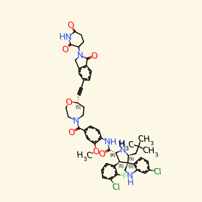 COc1cc(C(=O)N2CCO[C@H](C#Cc3ccc4c(c3)CN(C3CCC(=O)NC3=O)C4=O)CC2)ccc1NC(=O)[C@@H]1N[C@@H](CC(C)(C)C)[C@@]2(CNc3cc(Cl)ccc32)[C@H]1c1cccc(Cl)c1F